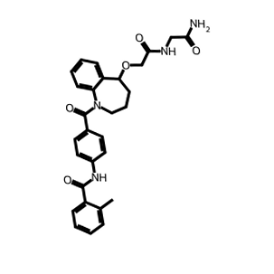 Cc1ccccc1C(=O)Nc1ccc(C(=O)N2CCCC(OCC(=O)NCC(N)=O)c3ccccc32)cc1